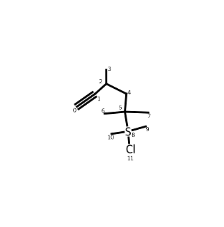 C#CC(C)CC(C)(C)S(C)(C)Cl